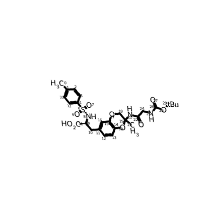 Cc1ccc(S(=O)(=O)N[C@@H](Cc2ccc3c(c2)OCC(C)(NC(=O)CNC(=O)OC(C)(C)C)O3)C(=O)O)cc1